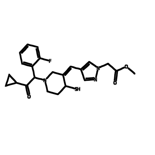 COC(=O)Cn1cc(C=C2CN(C(C(=O)C3CC3)c3ccccc3F)CCC2S)cn1